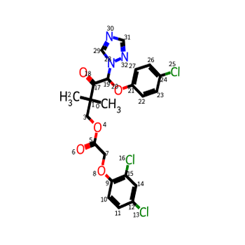 CC(C)(COC(=O)COc1ccc(Cl)cc1Cl)C(=O)C(Oc1ccc(Cl)cc1)n1cncn1